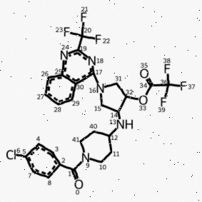 O=C(c1ccc(Cl)cc1)N1CCC(NC2CN(c3nc(C(F)(F)F)nc4ccccc34)CC2OC(=O)C(F)(F)F)CC1